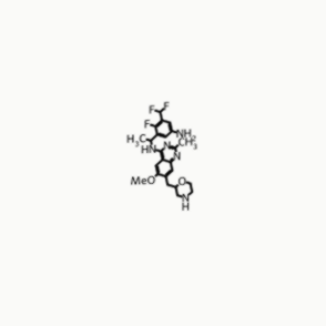 COc1cc2c(NC(C)c3cc(N)cc(C(F)F)c3F)nc(C)nc2cc1CC1CNCCO1